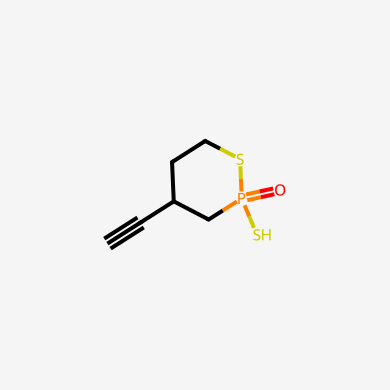 C#CC1CCSP(=O)(S)C1